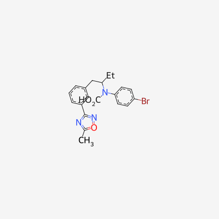 CCC(Cc1cccc(-c2noc(C)n2)c1)N(C(=O)O)c1ccc(Br)cc1